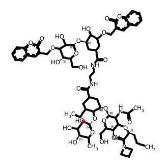 CCC[C@H](OC1C(NC(C)=O)[C@H](O[C@@H]2CC(C(=O)NCCNC(=O)C3CC(OCc4cc5ccccc5oc4=O)C(O)[C@H](O[C@@H]4OC(CO)[C@H](O)C(OCc5cc6ccccc6oc5=O)C4O)C3)CC(CC)C2O[C@@H]2OC(C)[C@@H](O)C(O)C2O)OC(CO)[C@@H]1O)C(=O)N1CCC1